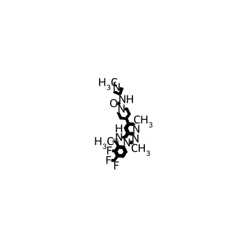 Cc1nc(N[C@H](C)c2cccc(C(F)F)c2F)c2cc(C3CCN(C(=O)NC4CN(C)C4)CC3)c(C)nc2n1